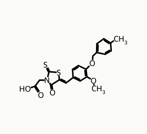 COc1cc(/C=C2\SC(=S)N(CC(=O)O)C2=O)ccc1OCc1ccc(C)cc1